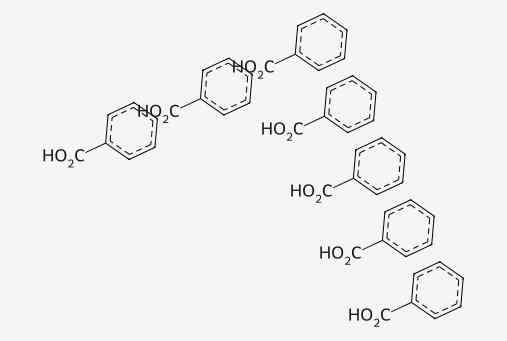 O=C(O)c1ccccc1.O=C(O)c1ccccc1.O=C(O)c1ccccc1.O=C(O)c1ccccc1.O=C(O)c1ccccc1.O=C(O)c1ccccc1.O=C(O)c1ccccc1